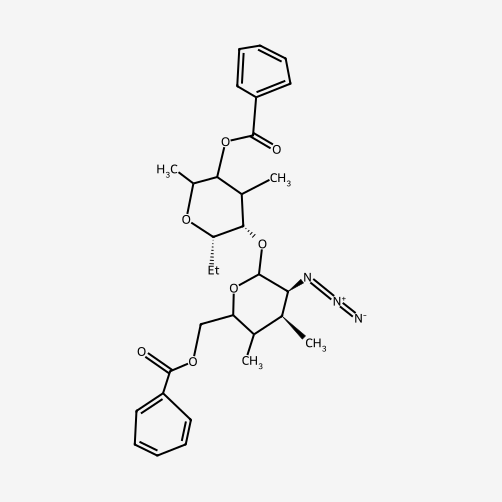 CC[C@@H]1OC(C)C(OC(=O)c2ccccc2)C(C)[C@@H]1OC1OC(COC(=O)c2ccccc2)C(C)[C@H](C)[C@@H]1N=[N+]=[N-]